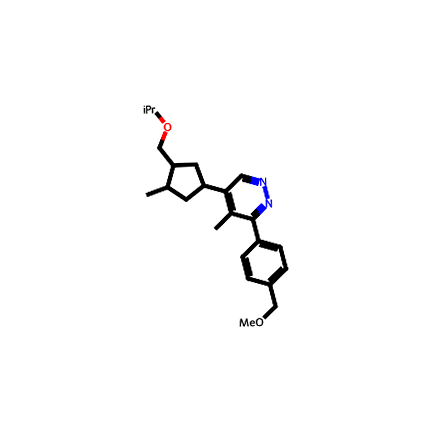 COCc1ccc(-c2nncc(C3CC(C)C(COC(C)C)C3)c2C)cc1